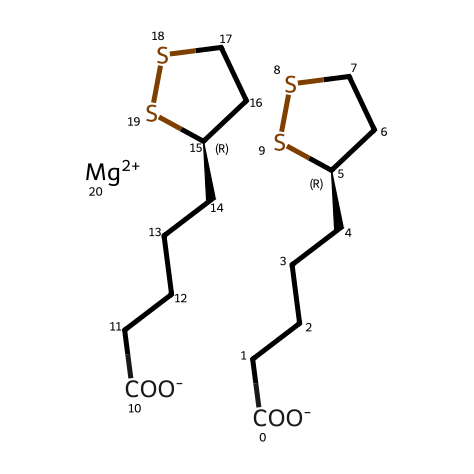 O=C([O-])CCCC[C@@H]1CCSS1.O=C([O-])CCCC[C@@H]1CCSS1.[Mg+2]